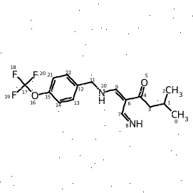 CC(C)CC(=O)/C(C=N)=C/NCc1ccc(OC(F)(F)F)cc1